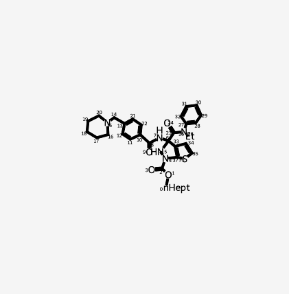 CCCCCCCOC(=O)N1NC(NC(=O)c2ccc(CN3CCCCC3)cc2)(C(=O)N(CC)c2ccccc2)c2ccsc21